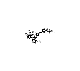 Cc1cncc2c1c(C[C@H]1CCN(CC[C@H]3CCN(C(=O)OC(C)(C)C)C3)C1)cn2-c1ccc(F)cc1C(=O)N(C)C(C)C